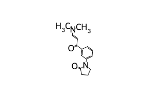 CN(C)C=CC(=O)c1cccc(N2CCCC2=O)c1